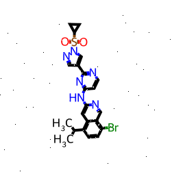 CC(C)c1ccc(Br)c2cnc(Nc3ccnc(-c4cnn(S(=O)(=O)C5CC5)c4)n3)cc12